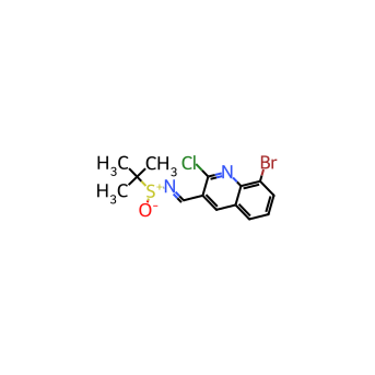 CC(C)(C)[S+]([O-])N=Cc1cc2cccc(Br)c2nc1Cl